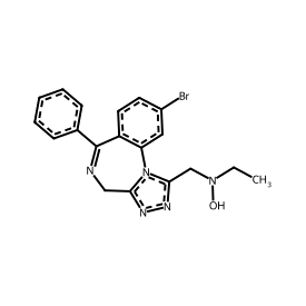 CCN(O)Cc1nnc2n1-c1cc(Br)ccc1C(c1ccccc1)=NC2